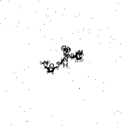 CN(C)Cc1ccc(CSCCN/C(=C/[N+](=O)[O-])NCc2cccnc2)o1